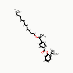 CCCCCCCCCCCCCCCCCCCCOC(C)c1ccc(C(=O)Oc2ccccc2C(CCC)CCCC)cc1